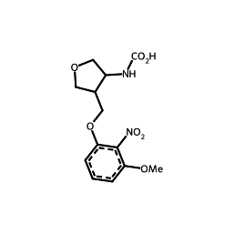 COc1cccc(OCC2COCC2NC(=O)O)c1[N+](=O)[O-]